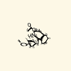 CC(=O)O.COc1ccc(CC2NCCC3=C2CCCC3)cc1